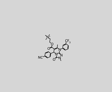 CC1=C(C(=O)OCC[N+](C)(C)C)C(c2ccc(C#N)cc2)n2c(nn(C)c2=O)N1c1cccc(C(F)(F)F)c1